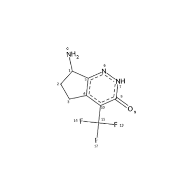 NC1CCc2c1n[nH]c(=O)c2C(F)(F)F